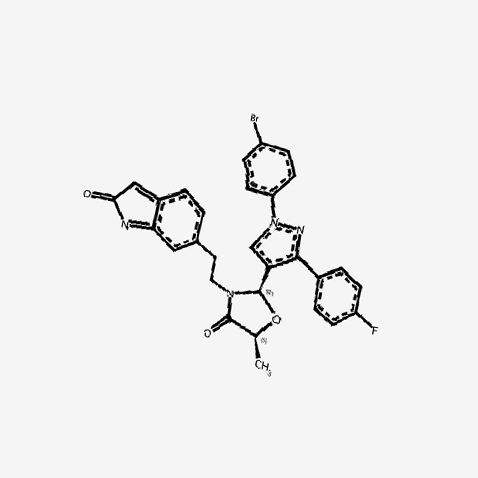 C[C@@H]1O[C@H](c2cn(-c3ccc(Br)cc3)nc2-c2ccc(F)cc2)N(CCc2ccc3c(c2)=NC(=O)C=3)C1=O